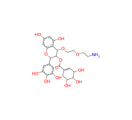 NCCOCCOC1c2c(O)cc(O)cc2OC(c2cc(O)c(O)c(O)c2)C1OC(=O)C1=CC(O)C(O)C(O)C1